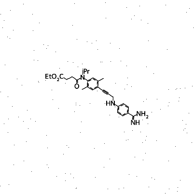 CCOC(=O)CCC(=O)N(c1cc(C)c(C#CCNc2ccc(C(=N)N)cc2)cc1C)C(C)C